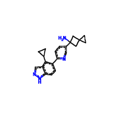 NC1(c2ccc(-c3ccc4[nH]ncc4c3C3CC3)nc2)CC2(CC2)C1